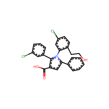 O=C(O)c1cc(-c2ccccc2)n(-c2cc(Cl)ccc2CCO)c1-c1cccc(Cl)c1